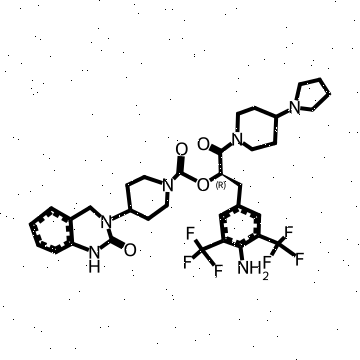 Nc1c(C(F)(F)F)cc(C[C@@H](OC(=O)N2CCC(N3Cc4ccccc4NC3=O)CC2)C(=O)N2CCC(N3CCCC3)CC2)cc1C(F)(F)F